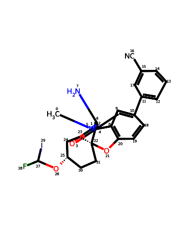 CN1C(=O)C2(N=C1N)c1cc(-c3cccc(C#N)c3)ccc1O[C@]21CC[C@@H](OC(F)I)CC1